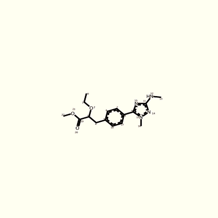 CCOC(Cc1ccc(-c2nc(NC)nn2C)cc1)C(=O)OC